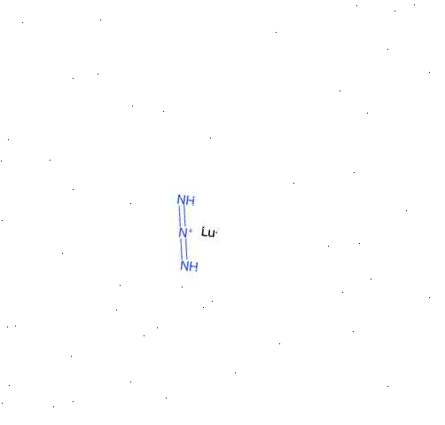 N=[N+]=N.[Lu]